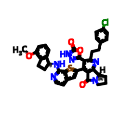 COc1cccc2c1CC[C@H]2Nc1nccc2cc(-c3c4c(nc(CCc5ccc(Cl)cc5)c3-c3n[nH]c(=O)o3)[C@@H]3CCCN3C4=O)sc12